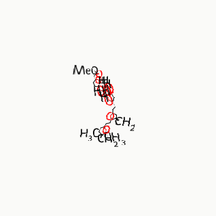 C=C1CC(CC[C@@]23CC4O[C@H]5[C@@H](O2)[C@H]2O[C@@H](CC(=O)OC)CC[C@@H]2O[C@H]5[C@H]4O3)OC1CCC1C[C@@H](C)C(=C)[C@@H](C)O1